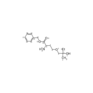 CCC(C)(O)COCCC(N)C(=O)OCc1ccccc1